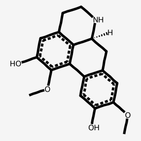 COc1cc2c(cc1O)-c1c(OC)c(O)cc3c1[C@H](C2)NCC3